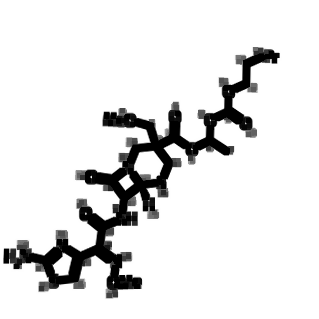 COCC1(C(=O)OC(C)OC(=O)OCCC(C)C)CS[C@@H]2C(NC(=O)C(=NOC)c3csc(N)n3)C(=O)N2C1